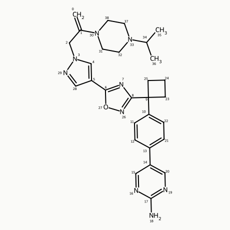 C=C(Cn1cc(-c2nc(C3(c4ccc(-c5cnc(N)nc5)cc4)CCC3)no2)cn1)N1CCN(C(C)C)CC1